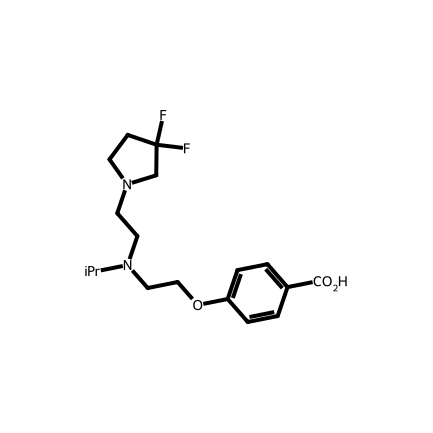 CC(C)N(CCOc1ccc(C(=O)O)cc1)CCN1CCC(F)(F)C1